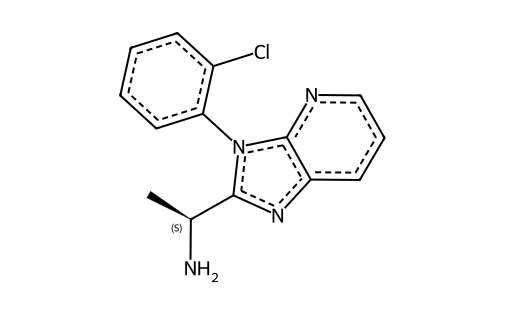 C[C@H](N)c1nc2cccnc2n1-c1ccccc1Cl